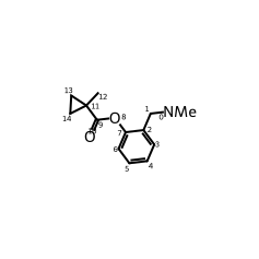 CNCc1ccccc1OC(=O)C1(C)CC1